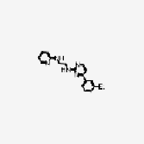 CCc1cccc(-c2ccnc(NCCNc3ccccn3)n2)c1